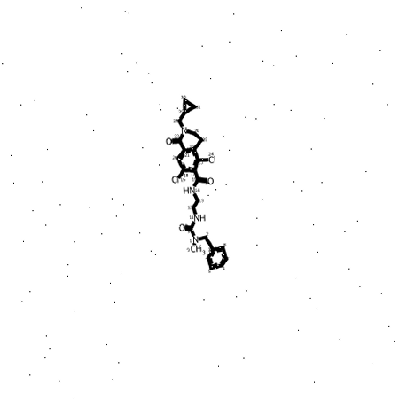 CN(Cc1ccccc1)C(=O)NCCNC(=O)c1c(Cl)cc2c(c1Cl)CCN(CC1CC1)C2=O